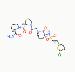 NC(=O)[C@H]1CCCN1C(=O)[C@@H]1CCCN1C(=O)CN1CCC[C@H](NS(=O)(=O)/C=C/c2ccc(Cl)s2)C1=O